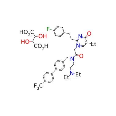 CCc1cn(CC(=O)N(CCN(CC)CC)Cc2ccc(-c3ccc(C(F)(F)F)cc3)cc2)c(CCc2ccc(F)cc2)nc1=O.O=C(O)C(O)C(O)C(=O)O